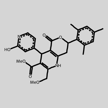 COCC1=C(C(=O)OC)C(c2ccnc(O)c2)C2=C(CC(c3c(C)cc(C)cc3C)OC2=O)N1